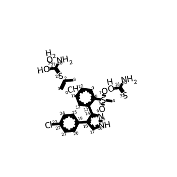 C.C=CC.CS(=O)(=O)c1ccccc1-c1n[nH]cc1-c1ccc(Cl)cc1.NC(O)=S.NC(O)=S.O